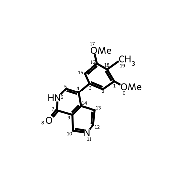 COc1cc(-c2c[nH]c(=O)c3cnccc23)cc(OC)c1C